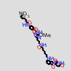 COc1nc(CCCNC(=O)CCCCCCNc2cccc3c2CN(C2CCC(=O)NC2=O)C3=O)cnc1NS(=O)(=O)c1ccc(NC(=O)/C=C/c2ccc([N+](=O)[O-])s2)cc1